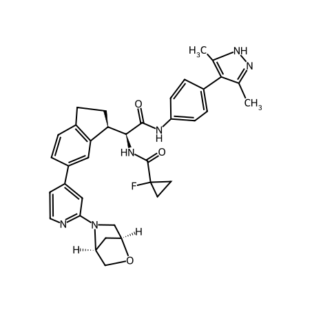 Cc1n[nH]c(C)c1-c1ccc(NC(=O)[C@@H](NC(=O)C2(F)CC2)[C@@H]2CCc3ccc(-c4ccnc(N5C[C@@H]6C[C@H]5CO6)c4)cc32)cc1